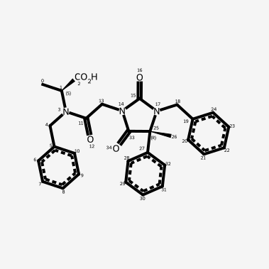 C[C@@H](C(=O)O)N(Cc1ccccc1)C(=O)CN1C(=O)N(Cc2ccccc2)[C@](C)(c2ccccc2)C1=O